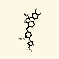 COc1cc(C=C2CCCN3C2=NOC3(C)c2ccc(F)c(F)c2)ccc1-n1cnc(C)c1